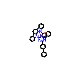 C1=CCC(n2c3ccccc3c3ccc4c5ccccc5n(-c5nc(-c6ccccc6)nc(-c6ccc(-c7ccccc7)cc6)n5)c4c32)C=C1